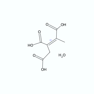 C/C(C(=O)O)=C(\CC(=O)O)C(=O)O.O